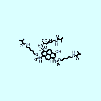 C=C(C)C(=O)NCCCCCOS(=O)Nc1cc(O)c2ccc3c(S(=O)(=O)NC(CCCCNC(=O)C(=C)C)C(=O)O)cc(NS(=O)OCCCCCNC(=O)C(=C)C)c4ccc1c2c43